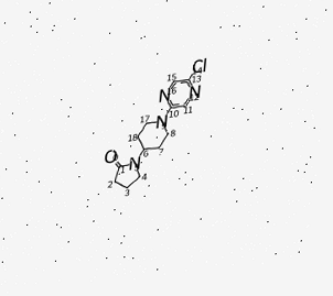 O=C1CCCN1C1CCN(c2cnc(Cl)cn2)CC1